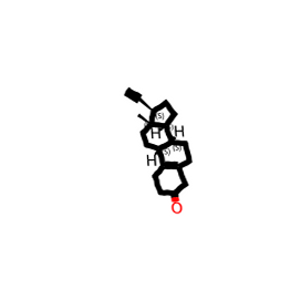 C#C[C@H]1CC[C@H]2[C@@H]3CCC4=C(CCC(=O)C4)[C@H]3CC[C@]12C